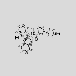 O=C1c2cc(C3=CCNCC3)ccc2CN1C(c1nc2ccccc2[nH]1)c1ccccc1O